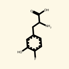 NC(Cc1ccc(F)c(O)c1)C(=O)O